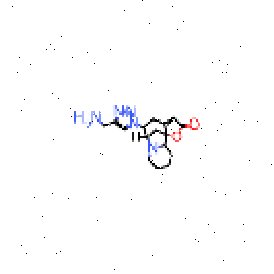 NCc1cn(C2CC3=CC(=O)O[C@@]34C[C@@H]2N2CCCCC24)nn1